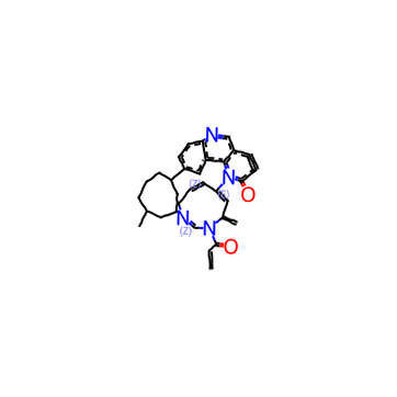 C=CC(=O)N1/C=N\C/C=C\C(n2c(=O)c#cc3cnc4ccc(C5CCCC(C)CCC5)cc4c32)=C/C1=C